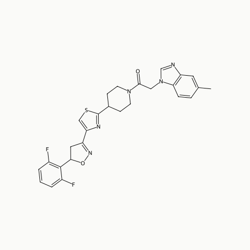 Cc1ccc2c(c1)ncn2CC(=O)N1CCC(c2nc(C3=NOC(c4c(F)cccc4F)C3)cs2)CC1